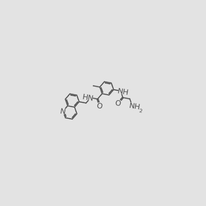 Cc1ccc(NC(=O)CN)cc1C(=O)NCc1cccc2ncccc12